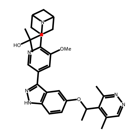 COc1cc(-c2n[nH]c3ccc(OC(C)c4c(C)cnnc4C)cc23)cnc1N1CC2CC(C1)N2CC(C)(C)O